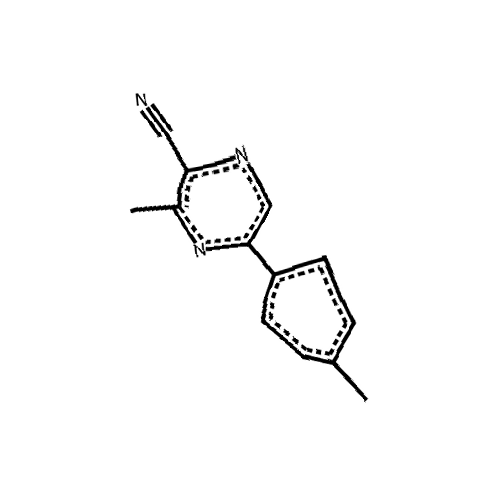 Cc1ccc(-c2cnc(C#N)c(C)n2)cc1